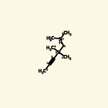 CC#C[Si](C)(C)C[SiH](C)C